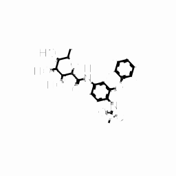 CC1OC(C(=O)Nc2ccc(NS(C)(=O)=O)c(Oc3ccccc3)c2)C(O)C(O)C1O